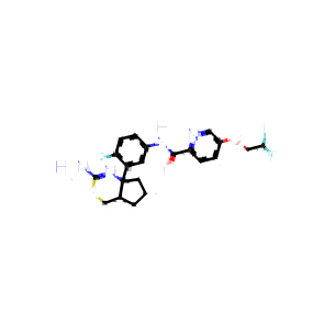 NC1=NC2(c3cc(NC(=O)c4ccc(OCC(F)F)cn4)ccc3F)CCCC2CS1